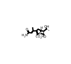 C/C(=C\C(N)=O)C1=C(C(=O)O)N2C(=O)[C@H]([C@@H](C)O)[C@H]2C1